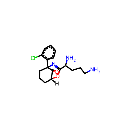 NCCCC(N)C1=N[C@@]2(c3ccccc3Cl)CCC[C@@H](O1)C2=O